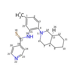 Cc1ccc(N2CCC3CCCC[C@@H]3C2)c(NC(=S)c2ccncc2)c1